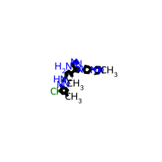 Cc1cc(Cl)c2nc(Nc3ccc(-c4cn([C@H]5CC[C@H](N6CCN(C)CC6)CC5)c5ncnc(N)c45)cc3)n(C)c2c1